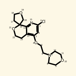 Clc1cc(OCCN2CCOCC2)c2c(n1)C1(CCOC1)OCC2